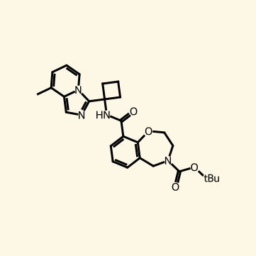 Cc1cccn2c(C3(NC(=O)c4cccc5c4OCCN(C(=O)OC(C)(C)C)C5)CCC3)ncc12